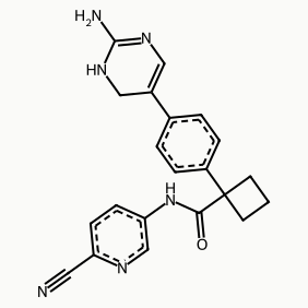 N#Cc1ccc(NC(=O)C2(c3ccc(C4=CN=C(N)NC4)cc3)CCC2)cn1